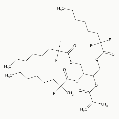 C=C(C)C(=O)OC(COC(=O)C(F)(F)CCCCCC)C(COC(=O)C(F)(F)CCCCCC)OC(=O)C(C)(F)CCCCCC